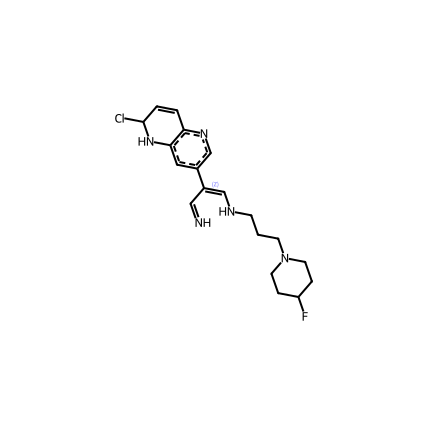 N=C/C(=C\NCCCN1CCC(F)CC1)c1cnc2c(c1)NC(Cl)C=C2